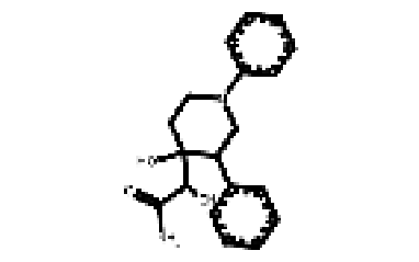 CC(C(N)=O)C1(O)CCN(c2ccccc2)CC1c1ccccc1